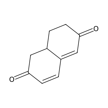 O=C1C=C2C=CC(=O)CC2CC1